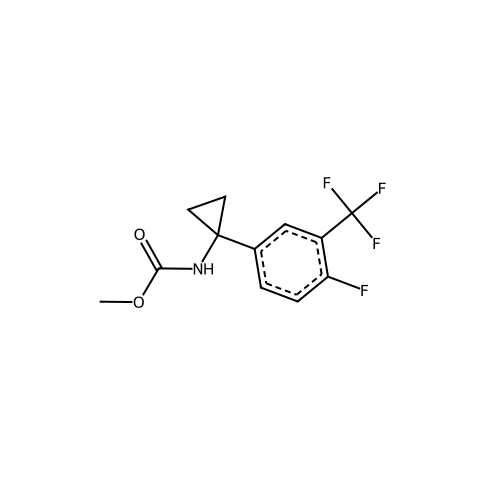 COC(=O)NC1(c2ccc(F)c(C(F)(F)F)c2)CC1